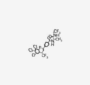 CC(NC(=O)c1ccc(/C(F)=C/C(c2cc(Cl)c(Cl)c(Cl)c2)C(F)(F)F)cc1)C(=O)NCC(F)(F)F